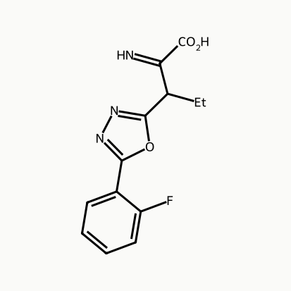 CCC(C(=N)C(=O)O)c1nnc(-c2ccccc2F)o1